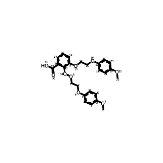 COc1ccc(OCCOOc2c(OCCOc3ccc(OC)cc3)cccc2C(=O)O)cc1